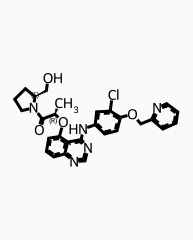 C[C@@H](Oc1cccc2ncnc(Nc3ccc(OCc4ccccn4)c(Cl)c3)c12)C(=O)N1CCC[C@H]1CO